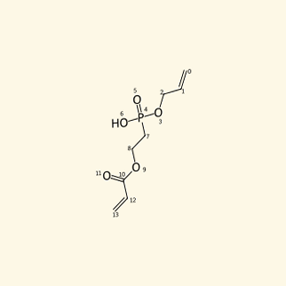 C=CCOP(=O)(O)CCOC(=O)C=C